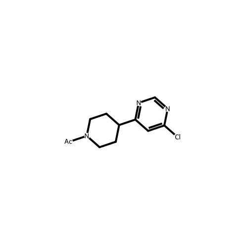 CC(=O)N1CCC(c2cc(Cl)ncn2)CC1